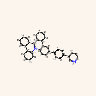 c1cncc(-c2ccc(-c3ccc4c(c3)-c3ccccc3B3c5ccccc5-c5ccccc5N34)cc2)c1